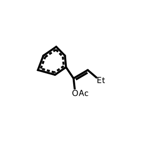 CCC=C(OC(C)=O)c1ccccc1